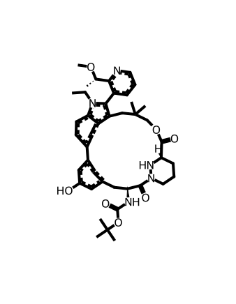 CCn1c(-c2cccnc2[C@H](C)OC)c2c3cc(ccc31)-c1cc(O)cc(c1)C[C@H](NC(=O)OC(C)(C)C)C(=O)N1CCC[C@H](N1)C(=O)OCC(C)(C)C2